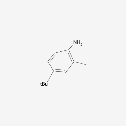 Cc1cc(C(C)(C)C)ccc1N